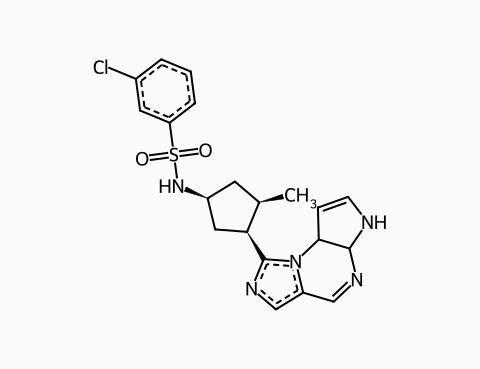 C[C@@H]1C[C@H](NS(=O)(=O)c2cccc(Cl)c2)C[C@@H]1c1ncc2n1C1C=CNC1N=C2